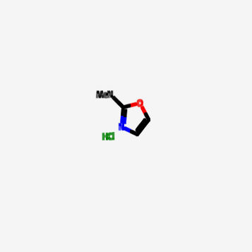 CNc1ncco1.Cl